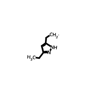 [CH2]Cc1cc(CC)n[nH]1